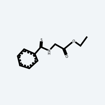 CCOC(=O)CNC(=S)c1ccccc1